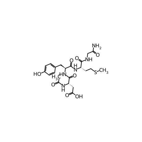 CSCC[C@H](NC(=O)[C@H](Cc1ccc(O)cc1)NC(=O)[C@H](CC(=O)O)NC(C)=O)C(=O)NCC(N)=O